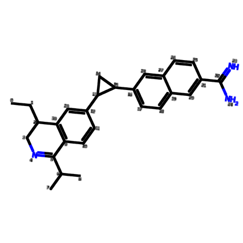 CCC1CN=C(C(C)C)c2ccc(C3CC3c3ccc4cc(C(=N)N)ccc4c3)cc21